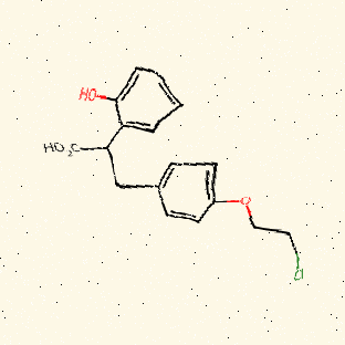 O=C(O)C(Cc1ccc(OCCCl)cc1)c1ccccc1O